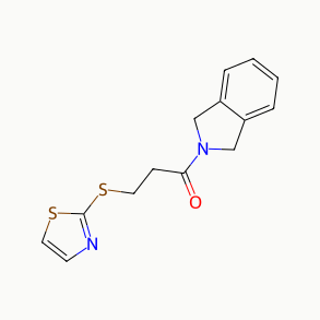 O=C(CCSc1nccs1)N1Cc2ccccc2C1